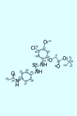 COc1cc(OCC(=O)OC(C)(C)C)c(NC(=S)Nc2ccc(NC(C)=O)cc2)cc1Cl